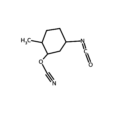 CC1CCC(N=C=O)CC1OC#N